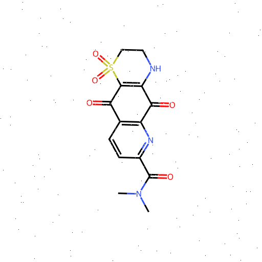 CN(C)C(=O)c1ccc2c(n1)C(=O)C1=C(C2=O)S(=O)(=O)CCN1